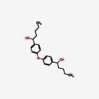 CCCCC(O)c1ccc(Oc2ccc(C(O)CCCC)cc2)cc1